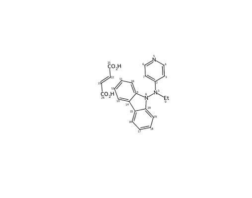 CCN(c1ccncc1)n1c2ccccc2c2ccccc21.O=C(O)C=CC(=O)O